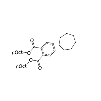 C1CCCCCC1.CCCCCCCCOC(=O)c1ccccc1C(=O)OCCCCCCCC